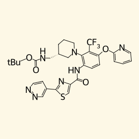 CC(C)(C)OC(=O)NC[C@@H]1CCCN(c2c(NC(=O)c3csc(-c4ccnnc4)n3)ccc(Oc3ccccn3)c2C(F)(F)F)C1